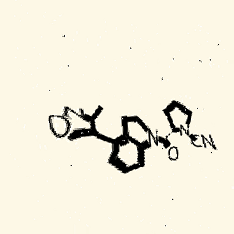 Cc1nocc1-c1cccc2c1CCN2C(=O)[C@@H]1CCCN1C#N